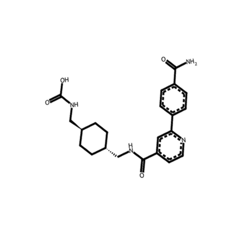 NC(=O)c1ccc(-c2cc(C(=O)NC[C@H]3CC[C@H](CNC(=O)O)CC3)ccn2)cc1